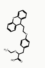 CCOC(Cc1ccc(OCCC2c3ccccc3Sc3ccccc32)cc1)C(=O)O